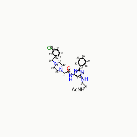 CC(=O)NCCNc1cc(NC(=O)CN2CCN(Cc3cccc(Cl)c3)CC2)nc(-c2ccccc2)n1